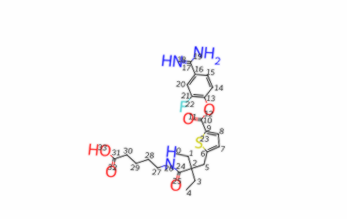 CCC(CC)(Cc1ccc(C(=O)Oc2ccc(C(=N)N)cc2F)s1)C(=O)NCCCCC(=O)O